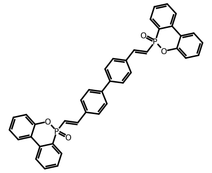 O=P1(/C=C/c2ccc(-c3ccc(/C=C/P4(=O)Oc5ccccc5-c5ccccc54)cc3)cc2)Oc2ccccc2-c2ccccc21